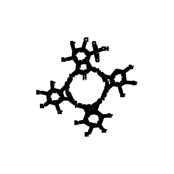 O=S(=O)(O)c1c(Cl)c(Br)c(Br)c2c3nc4nc(nc5c6c(Br)c(Br)c(Br)c(Br)c6c(nc6nc(nc([nH]3)c12)-c1cc(Br)c(Br)c(Br)c1-6)n5Br)-c1c(Br)c(Br)c(Br)c(Br)c1-4